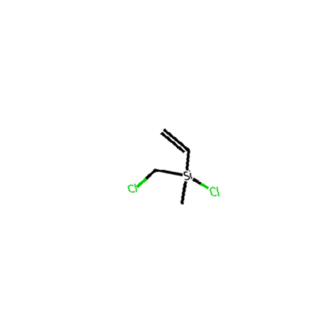 C=C[Si](C)(Cl)CCl